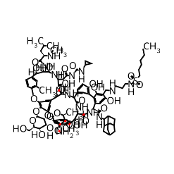 CCCCCCCS(=O)(=O)NCCCNCc1c(O)cc2c(c1O)-c1cc(ccc1O)[C@H]1NC(=O)[C@@H]3NC(=O)[C@H](CC(=O)NC(=O)NC4CC4)NC(=O)[C@H](NC(=O)[C@@H](CC(C)C)NC)[C@H](O)c4ccc(c(C)c4)Oc4cc3cc(c4O[C@@H]3O[C@H](CO)[C@@H](O)[C@H](O)[C@H]3O[C@H]3C[C@](C)(N)[C@H](O)[C@H](C)O3)Oc3ccc(cc3Cl)[C@@H](O)[C@H](NC1=O)C(=O)N[C@@H]2C(=O)NC1C2CC3CC(C2)CC1C3